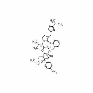 CC(C)CN(C[C@H](O)[C@H](Cc1ccccc1)NC(=O)[C@H](C(C)C)N1CCN(Cc2csc(C(C)C)n2)C1=O)S(=O)(=O)c1ccc(N)cc1